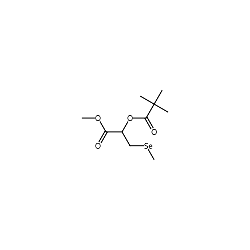 COC(=O)C(C[Se]C)OC(=O)C(C)(C)C